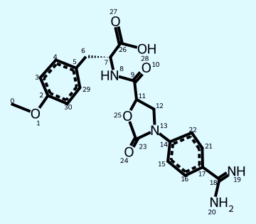 COc1ccc(C[C@@H](NC(=O)C2CN(c3ccc(C(=N)N)cc3)C(=O)O2)C(=O)O)cc1